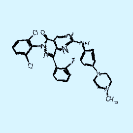 CN1CCN(c2ccc(Nc3ncc4c(=O)n(-c5c(Cl)cccc5Cl)nc(-c5ccccc5F)c4n3)cc2)CC1